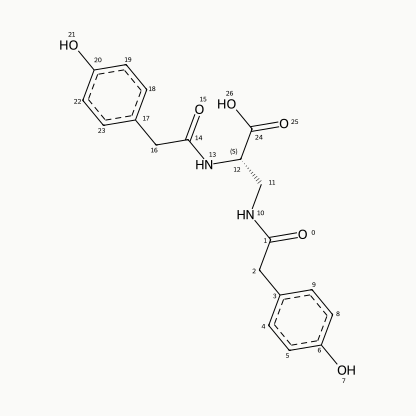 O=C(Cc1ccc(O)cc1)NC[C@H](NC(=O)Cc1ccc(O)cc1)C(=O)O